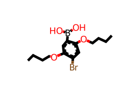 CCCCOc1cc(B(O)O)c(OCCCC)cc1Br